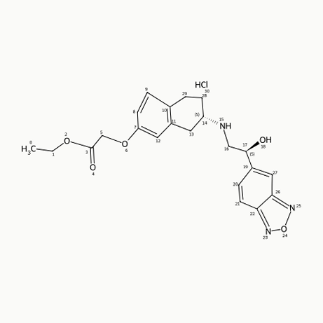 CCOC(=O)COc1ccc2c(c1)C[C@@H](NC[C@@H](O)c1ccc3nonc3c1)CC2.Cl